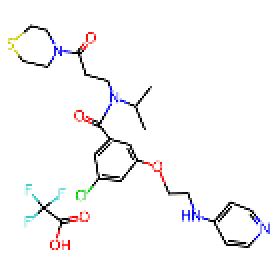 CC(C)N(CCC(=O)N1CCSCC1)C(=O)c1cc(Cl)cc(OCCNc2ccncc2)c1.O=C(O)C(F)(F)F